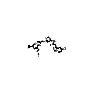 O=COCc1cc(C2CC2)cn2cc(CNc3cc(NC(=O)Cc4ncn5ccc(Cl)cc45)ncn3)nc12